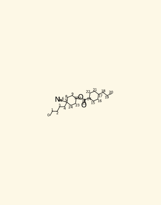 CCCCCC1(C#N)CCC(OC(=O)C2CCC(CCC)CC2)CC1